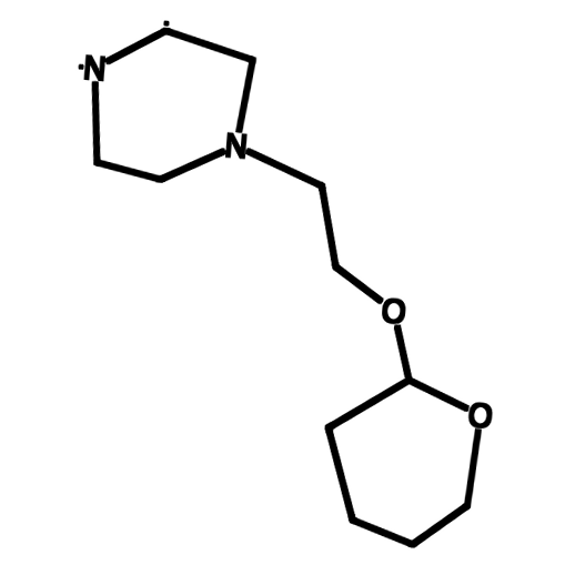 [CH]1CN(CCOC2CCCCO2)CC[N]1